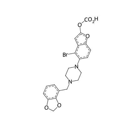 O=C(O)Oc1cc2c(Br)c(N3CCN(Cc4cccc5c4OCO5)CC3)ccc2o1